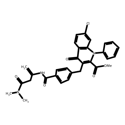 C=C(CC(=O)N(C)C)NC(=O)c1ccc(Cc2c(C(=O)OC)n(-c3ccccc3)c3cc(Cl)ccc3c2=O)cc1